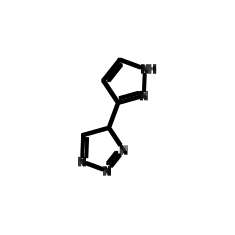 C1=NN=NC1c1cc[nH]n1